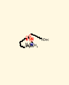 CCCCC/C=C\C/C=C\C/C=C\CCCCC(=O)O[C@H](CO/C=C\CCCCCCCCCCCCCCCCCC)COP(=O)([O-])OCC[N+](C)(C)C